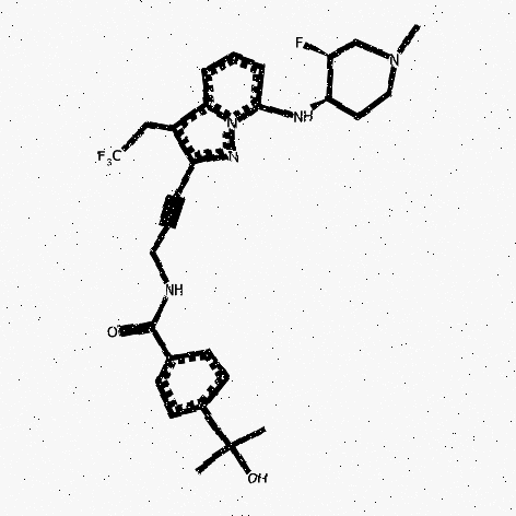 CN1CC[C@@H](Nc2cccc3c(CC(F)(F)F)c(C#CCNC(=O)c4ccc(C(C)(C)O)cc4)nn23)[C@@H](F)C1